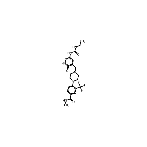 CCNC(=O)Nc1cc(CN2CCN(c3ccc(C(=O)NC)nc3C(F)(F)F)CC2)c(=O)[nH]n1